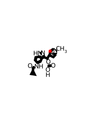 CN1CC2CCC1CN2C(=O)c1n[nH]c2ccc(NC(=O)C3CC3)cc12.O=CO